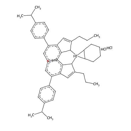 CCCC1=Cc2c(-c3ccc(C(C)C)cc3)cccc2[CH]1[Hf]1([CH]2C(CCC)=Cc3c(-c4ccc(C(C)C)cc4)cccc32)[CH]2CCCC[CH]21.Cl.Cl